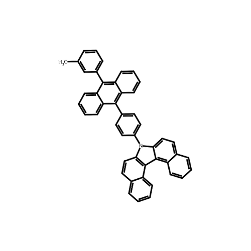 Cc1cccc(-c2c3ccccc3c(-c3ccc(-n4c5ccc6ccccc6c5c5c6ccccc6ccc54)cc3)c3ccccc23)c1